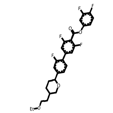 CCOCCC1CCC(c2ccc(-c3cc(F)c(C(=O)Oc4ccc(F)c(F)c4)c(F)c3)c(F)c2)OC1